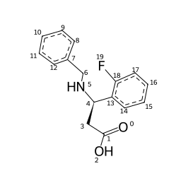 O=C(O)C[C@@H](NCc1ccccc1)c1ccccc1F